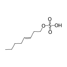 CCCC/C=C/CCOS(=O)(=O)O